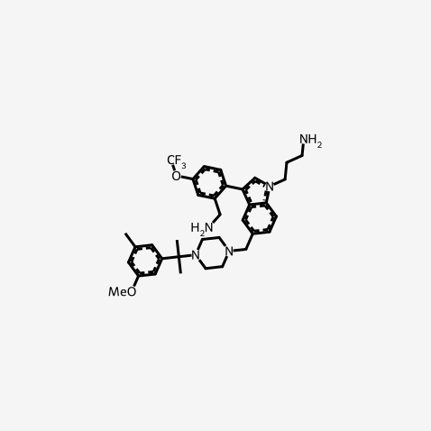 COc1cc(C)cc(C(C)(C)N2CCN(Cc3ccc4c(c3)c(-c3ccc(OC(F)(F)F)cc3CN)cn4CCCN)CC2)c1